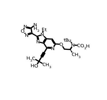 CCn1c(-c2nonc2N)nc2c(C#CC(C)(C)O)nc(OC[C@H](C)N(C(=O)O)C(C)(C)C)cc21